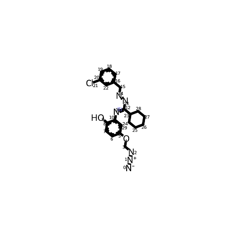 [N-]=[N+]=NCOc1ccc(O)c(/N=C(/N=NCc2cccc(Cl)c2)C2CCCCC2)c1